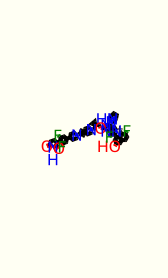 CCc1c(F)ccc2cc(O)cc(-c3ncc4c(N5CC6CCC(C5)N6)nc(OCC5(CN6CCC7(CC6)CC(N6CCC(c8cc(F)c(C9CCC(=O)NC9=O)c(F)c8)CC6)C7)CC5)nc4c3F)c12